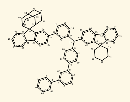 c1ccc(-c2cccc(-c3ccc(N(c4cccc(-c5ccc6c(c5)C5(c7ccccc7-6)C6CC7CC(C6)CC5C7)c4)c4ccc5c(c4)C4(CCCCC4)c4ccccc4-5)cc3)c2)cc1